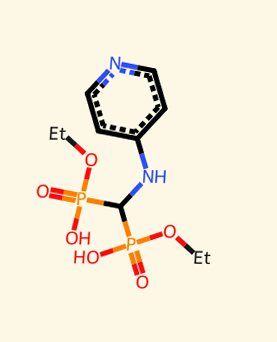 CCOP(=O)(O)C(Nc1ccncc1)P(=O)(O)OCC